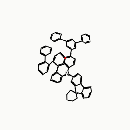 c1ccc(-c2cc(-c3ccccc3)cc(-c3ccc(N(c4ccc5c(c4)C4(CCCCC4)c4ccccc4-5)c4ccccc4-c4ccccc4-c4ccccc4-c4ccccc4)cc3)c2)cc1